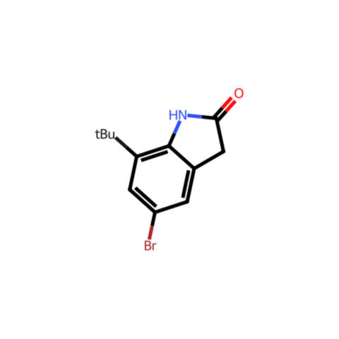 CC(C)(C)c1cc(Br)cc2c1NC(=O)C2